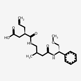 C=CC[C@H](CC(=O)O)C(=O)NCC(C)CC(=O)N[C@H](COC)c1ccccc1